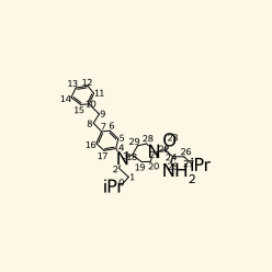 CC(C)CCN(c1ccc(CCc2ccccc2)cc1)C1CCN(C(=O)[C@H](N)CC(C)C)CC1